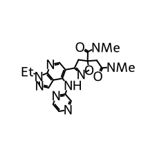 CCn1ncc2c(Nc3cnccn3)c(C3=NOC(CC(=O)NC)(C(=O)NC)C3)cnc21